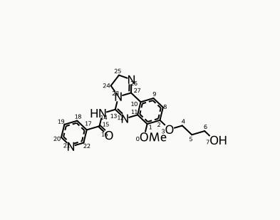 COc1c(OCCCO)ccc2c1N=C(NC(=O)c1cccnc1)N1CCN=C21